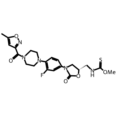 COC(=S)NC[C@H]1CN(c2ccc(N3CCN(C(=O)c4cc(C)on4)CC3)c(F)c2)C(=O)O1